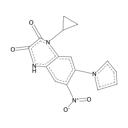 O=c1[nH]c2cc([N+](=O)[O-])c(-n3cccc3)cc2n(C2CC2)c1=O